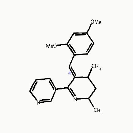 COc1ccc(/C=C2/C(c3cccnc3)=NC(C)CC2C)c(OC)c1